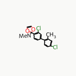 CNC1(c2ccc(-c3ccc(Cl)cc3C)cc2Cl)OC=CO1